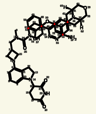 CN(CC1CN(c2cccc3c2CCN3C2CCC(=O)NC2=O)C1)C(=O)N1CCC(Oc2cccc(N3[C@@H]4COC[C@H]3CN(c3cc(-c5ccccc5O)nnc3N)C4)c2)CC1